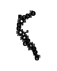 CC1c2cc(OCOc3ccc(OCOCC4CO4)c(F)c3)ccc2-c2ccc(OC(=O)c3ccc(OCOCC4CO4)cc3)cc21